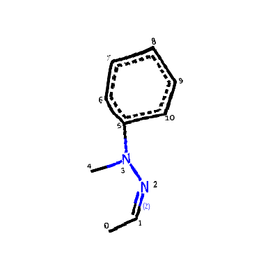 C/C=N\N(C)c1ccccc1